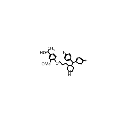 COc1cc(C(C)O)ccc1OCCCC1CNCCC1C(c1ccc(F)cc1)c1ccc(F)cc1